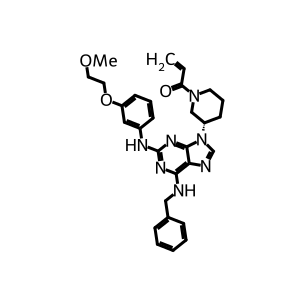 C=CC(=O)N1CCC[C@H](n2cnc3c(NCc4ccccc4)nc(Nc4cccc(OCCOC)c4)nc32)C1